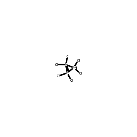 ClP1(Cl)=P(Cl)(Cl)[PH]1(Cl)Cl